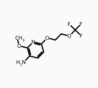 COc1nc(OCCOC(F)(F)F)ccc1N